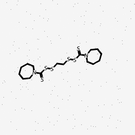 S=C(SSCCSSC(=S)N1CCCCCC1)N1CCCCCC1